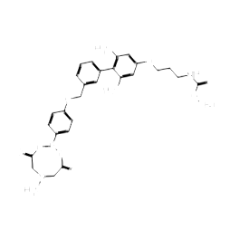 Cc1cc(OCCCNC(=O)OC(C)(C)C)cc(C)c1-c1cccc(COc2ccc(B3OC(=O)CN(C)CC(=O)O3)cc2)c1